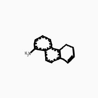 Nc1cccc2c3c(ccc12)C=CCC3